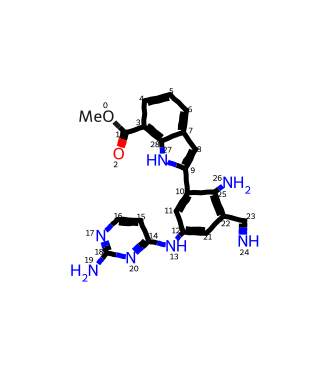 COC(=O)c1cccc2cc(-c3cc(Nc4ccnc(N)n4)cc(C=N)c3N)[nH]c12